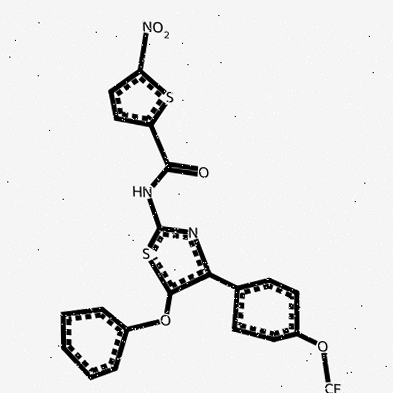 O=C(Nc1nc(-c2ccc(OC(F)(F)F)cc2)c(Oc2ccccc2)s1)c1ccc([N+](=O)[O-])s1